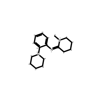 CN1CCCCC1=Nc1ccccc1N1CCCCC1